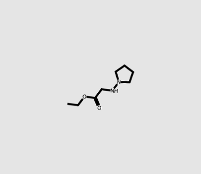 CCOC(=O)CNN1CCCC1